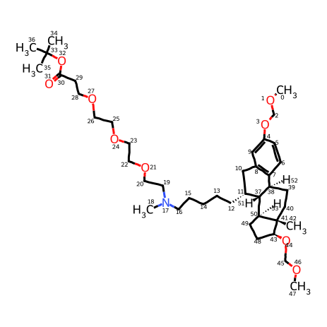 COCOc1ccc2c(c1)C[C@@H](CCCCCN(C)CCOCCOCCOCCC(=O)OC(C)(C)C)[C@@H]1[C@@H]2CC[C@]2(C)[C@@H](OCOC)CC[C@@H]12